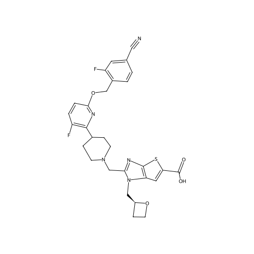 N#Cc1ccc(COc2ccc(F)c(C3CCN(Cc4nc5sc(C(=O)O)cc5n4C[C@@H]4CCO4)CC3)n2)c(F)c1